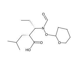 CC[C@@H]([C@@H](CC(C)C)C(=O)O)N(C=O)OC1CCCCO1